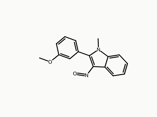 COc1cccc(-c2c(N=O)c3ccccc3n2C)c1